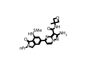 CCCN1Cc2cc(-c3ccn4nc(N)c(C(=O)NC5(C)COC5)c4n3)cc(NSC)c2C1=O